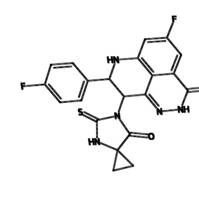 O=C1N(C2c3n[nH]c(=O)c4cc(F)cc(c34)NC2c2ccc(F)cc2)C(=S)NC12CC2